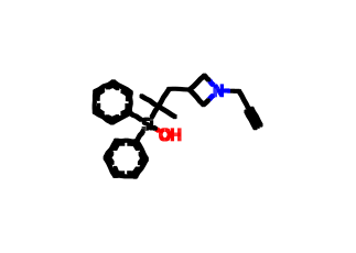 C#CCN1CC(CC(C)(C)[Si](O)(c2ccccc2)c2ccccc2)C1